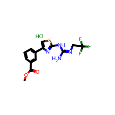 COC(=O)c1cccc(-c2csc(N/C(N)=N\CC(F)(F)F)n2)c1.Cl